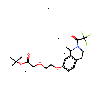 CC1c2cc(OCCOCC(=O)OC(C)(C)C)ccc2CCN1C(=O)C(F)(F)F